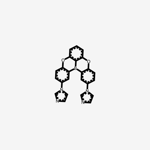 c1cc2c3c(c1)Oc1ccc(-n4ccnc4)cc1B3c1cc(-n3ccnc3)ccc1O2